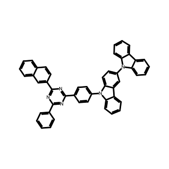 c1ccc(-c2nc(-c3ccc(-n4c5ccccc5c5cc(-n6c7ccccc7c7ccccc76)ccc54)cc3)nc(-c3ccc4ccccc4c3)n2)cc1